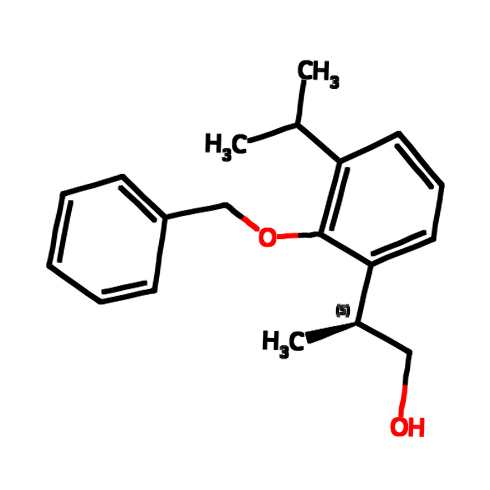 CC(C)c1cccc([C@H](C)CO)c1OCc1ccccc1